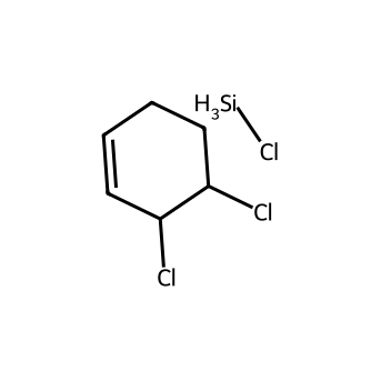 ClC1C=CCCC1Cl.[SiH3]Cl